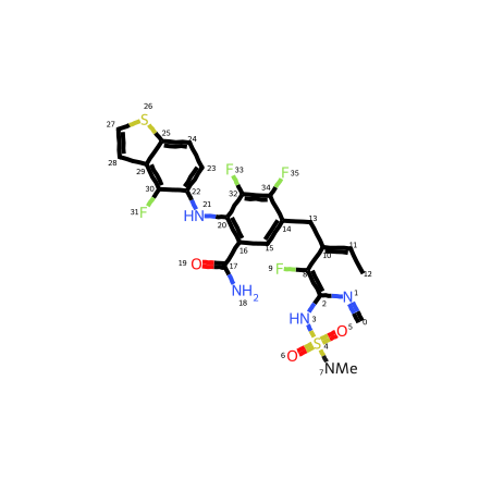 C=N/C(NS(=O)(=O)NC)=C(F)\C(=C/C)Cc1cc(C(N)=O)c(Nc2ccc3sccc3c2F)c(F)c1F